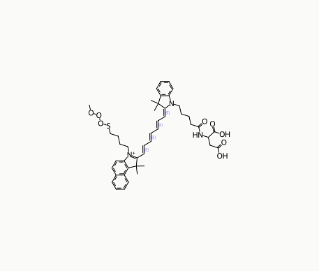 COOOSCCCC[N+]1=C(/C=C/C=C/C=C/C=C2/N(CCCCC(=O)NC(CC(=O)O)C(=O)O)c3ccccc3C2(C)C)C(C)(C)c2c1ccc1ccccc21